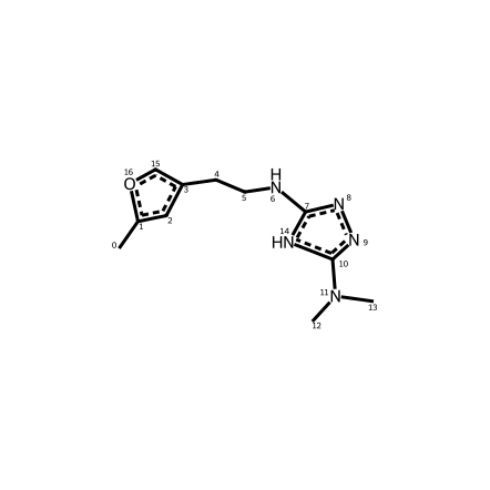 Cc1cc(CCNc2nnc(N(C)C)[nH]2)co1